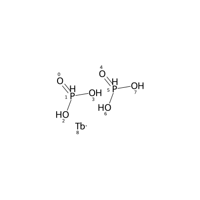 O=[PH](O)O.O=[PH](O)O.[Tb]